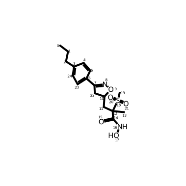 CCCc1ccc(C2=NOC(CC(C)(C(=O)NO)S(C)(=O)=O)C2)cc1